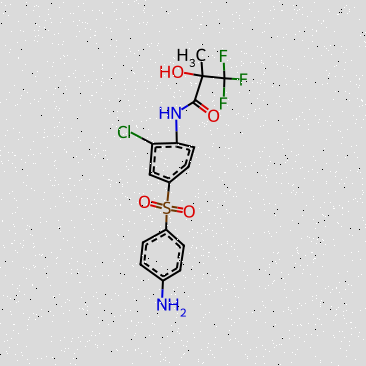 CC(O)(C(=O)Nc1ccc(S(=O)(=O)c2ccc(N)cc2)cc1Cl)C(F)(F)F